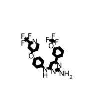 Nc1nc(Nc2ccc(Oc3ccnc(C(F)(F)F)c3)cc2)cc(-c2cccc(OC(F)(F)F)c2)n1